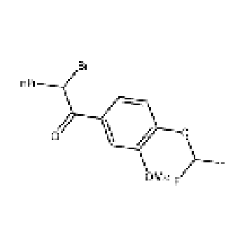 CCCC(Br)C(=O)c1ccc(OC(F)F)c(OC)c1